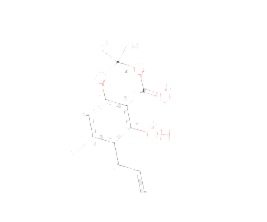 C=CCc1c(C)cc2c(c1O)C(=O)OC(C)(C)O2